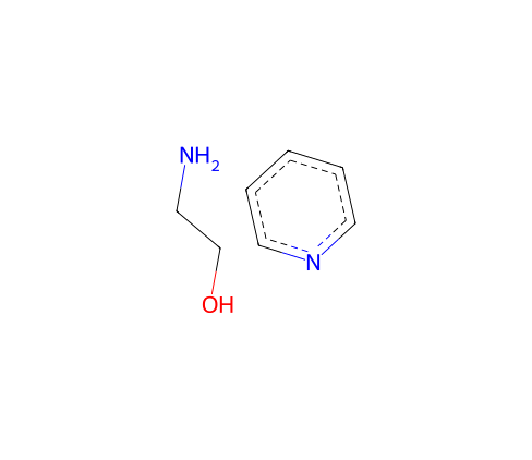 NCCO.c1ccncc1